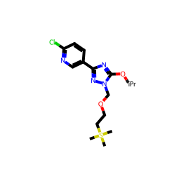 CC(C)Oc1nc(-c2ccc(Cl)nc2)nn1COCCS(C)(C)C